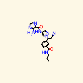 CCCNC(=O)c1cccc(C(CC#N)n2cc(NC(=O)c3nccnc3N)cn2)c1